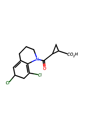 O=C(O)C1CC1C(=O)N1CCCC2=CC(Cl)CC(Cl)=C21